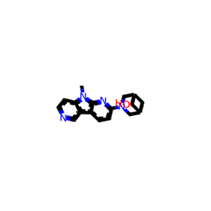 Cn1c2ccncc2c2ccc(N3CC4CC(C3)C4O)nc21